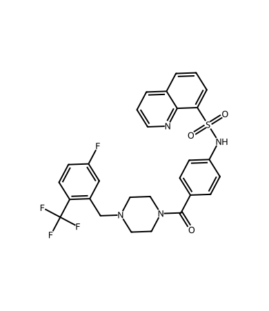 O=C(c1ccc(NS(=O)(=O)c2cccc3cccnc23)cc1)N1CCN(Cc2cc(F)ccc2C(F)(F)F)CC1